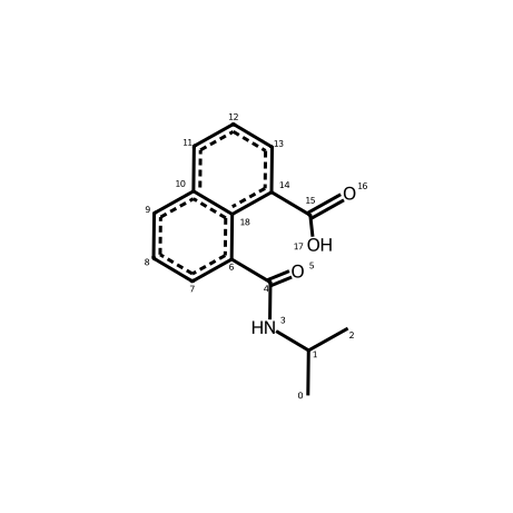 CC(C)NC(=O)c1cccc2cccc(C(=O)O)c12